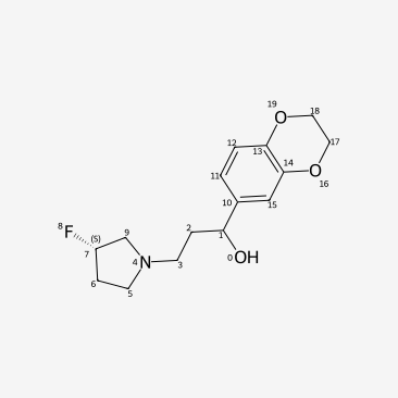 OC(CCN1CC[C@H](F)C1)c1ccc2c(c1)OCCO2